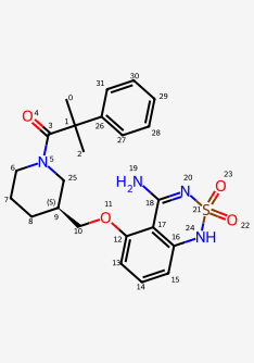 CC(C)(C(=O)N1CCC[C@H](COc2cccc3c2C(N)=NS(=O)(=O)N3)C1)c1ccccc1